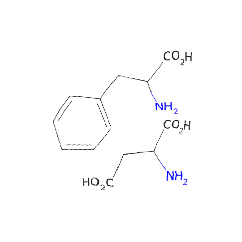 NC(CC(=O)O)C(=O)O.NC(Cc1ccccc1)C(=O)O